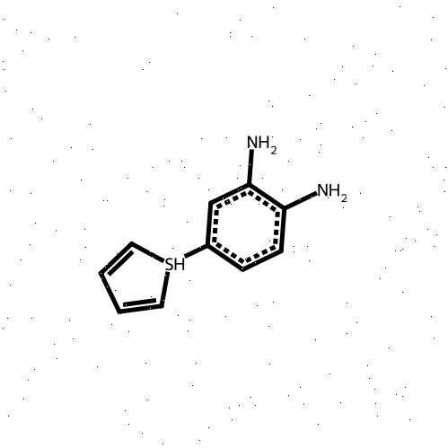 Nc1ccc([SH]2C=CC=C2)cc1N